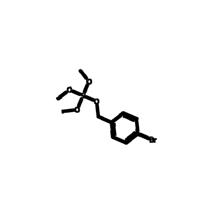 CO[Si](OC)(OC)OCc1ccc(Br)cc1